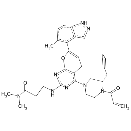 C=CC(=O)N1CCN(c2nc(NCCC(=O)N(C)C)nc3c2CC=C(c2c(C)ccc4[nH]ncc24)O3)C[C@@H]1CC#N